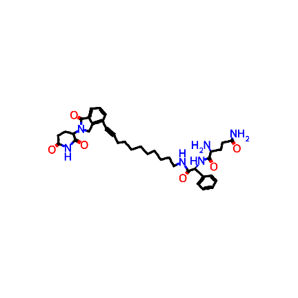 NC(=O)CC[C@H](N)C(=O)N[C@H](C(=O)NCCCCCCCCCC#Cc1cccc2c1CN(C1CCC(=O)NC1=O)C2=O)c1ccccc1